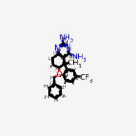 CC1(c2cccc(C(F)(F)F)c2)c2c(N)nc(N)nc2CCC1OCc1ccccc1